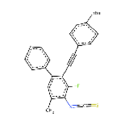 CCCCc1ccc(C#Cc2c(-c3ccccc3)cc(C)c(N=C=S)c2F)cc1